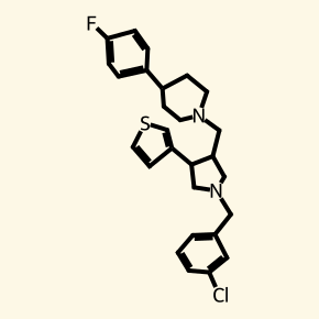 Fc1ccc(C2CCN(CC3CN(Cc4cccc(Cl)c4)CC3c3ccsc3)CC2)cc1